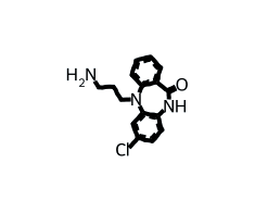 NCCCN1c2cc(Cl)ccc2NC(=O)c2ccccc21